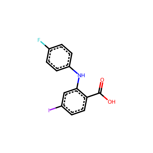 O=C(O)c1ccc(I)cc1Nc1ccc(F)cc1